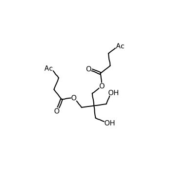 CC(=O)CCC(=O)OCC(CO)(CO)COC(=O)CCC(C)=O